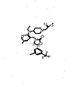 CCN(c1ncc(C)cc1CN1C(=O)O[C@H](c2cc(C)cc(C(F)(F)F)c2)[C@@H]1C)C1CCN(CC(=O)OC)CC1